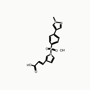 Cl.Cn1cc(-c2ccc(S(=O)(=O)n3ccc(C=CC(=O)O)c3)cc2)cn1